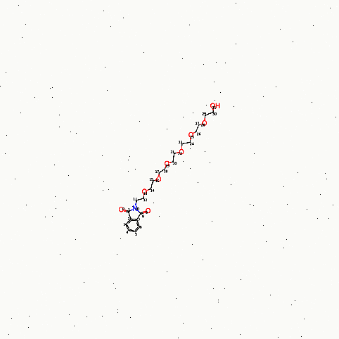 O=C1c2ccccc2C(=O)N1CCOCCOCCOCCOCCOCCOCCO